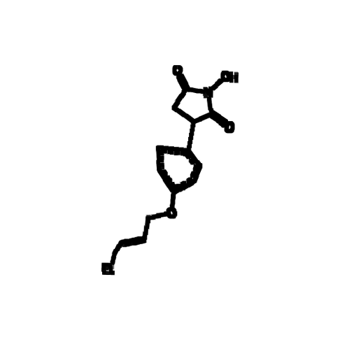 CCC=CCOc1ccc(C2CC(=O)N(O)C2=O)cc1